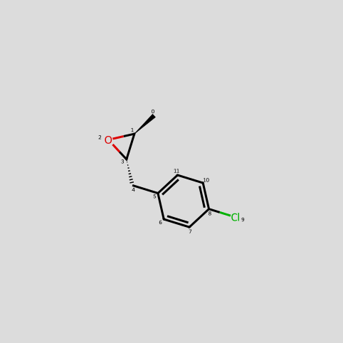 C[C@@H]1O[C@H]1Cc1ccc(Cl)cc1